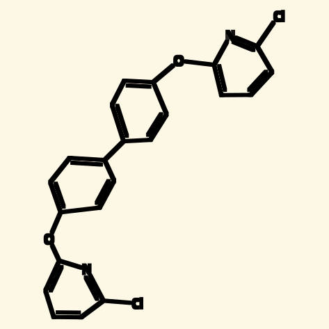 Clc1cccc(Oc2ccc(-c3ccc(Oc4cccc(Cl)n4)cc3)cc2)n1